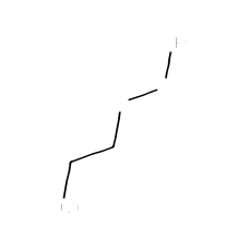 CC(C)SSCCC(C)(C)C